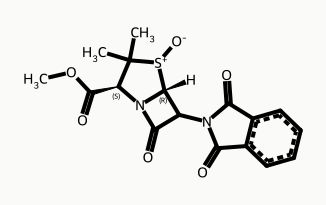 COC(=O)[C@@H]1N2C(=O)C(N3C(=O)c4ccccc4C3=O)[C@H]2[S+]([O-])C1(C)C